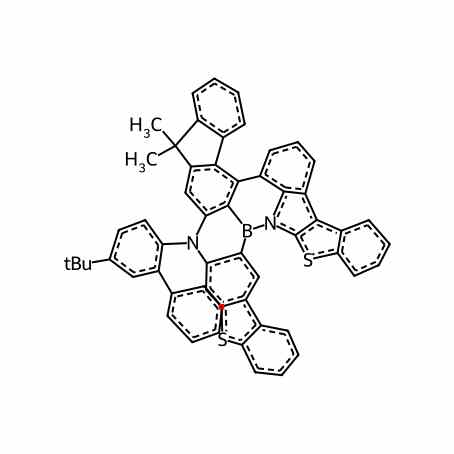 CC(C)(C)c1ccc(N2c3cc4sc5ccccc5c4cc3B3c4c2cc2c(c4-c4cccc5c6c7ccccc7sc6n3c45)-c3ccccc3C2(C)C)c(-c2ccccc2)c1